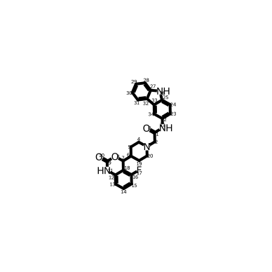 O=C(CN1CCC(C2OC(=O)Nc3cccc(F)c32)CC1)Nc1ccc2[nH]c3ccccc3c2c1